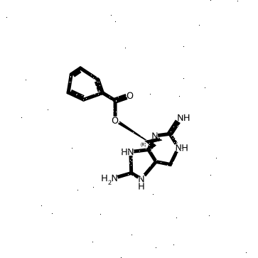 N=C1NCC2NC(N)NC23C[C@@H](OC(=O)c2ccccc2)CN13